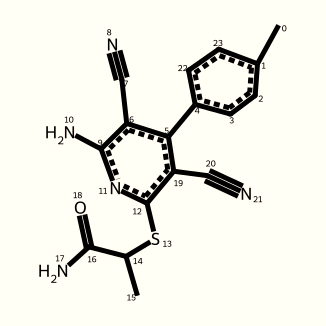 Cc1ccc(-c2c(C#N)c(N)nc(SC(C)C(N)=O)c2C#N)cc1